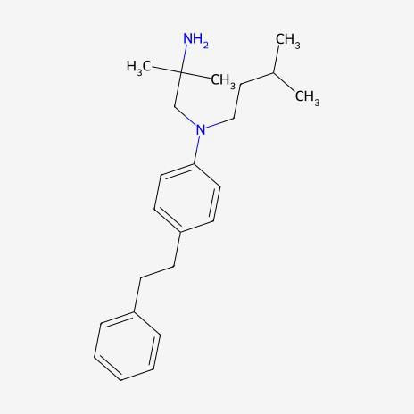 CC(C)CCN(CC(C)(C)N)c1ccc(CCc2ccccc2)cc1